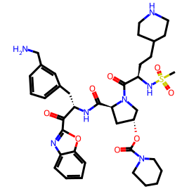 CS(=O)(=O)N[C@H](CCC1CCNCC1)C(=O)N1C[C@H](OC(=O)N2CCCCC2)C[C@H]1C(=O)N[C@@H](Cc1cccc(CN)c1)C(=O)c1nc2ccccc2o1